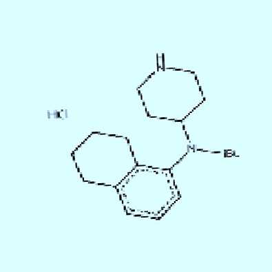 CCC(C)N(c1cccc2c1CCCC2)C1CCNCC1.Cl